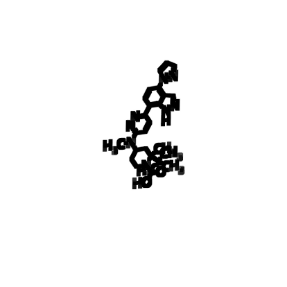 CN(c1ccc(-c2ccc(-n3cccn3)c3cn[nH]c23)nn1)C1CCN(C(=O)O)C(C)(C(C)(C)C)C1